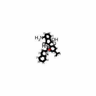 CC(C)c1ccc2c(c1)OC1(O)c3cccc(N)c3C(=O)C21NC(=O)c1ccc2ccccc2n1